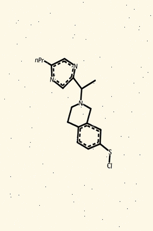 CCCc1cnc(C(C)N2CCc3ccc(SCl)cc3C2)cn1